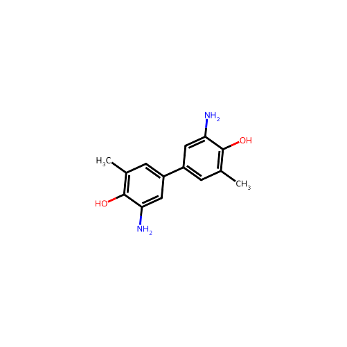 Cc1cc(-c2cc(C)c(O)c(N)c2)cc(N)c1O